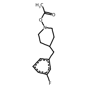 CC(=O)ON1CCC(Cc2cccc(F)c2)CC1